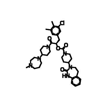 Cc1cc(C[C@@H](OC(=O)N2CCC(N3CCc4ccccc4NC3=O)CC2)C(=O)N2CCC(N3CCCN(C)CC3)CC2)cc(Cl)c1C